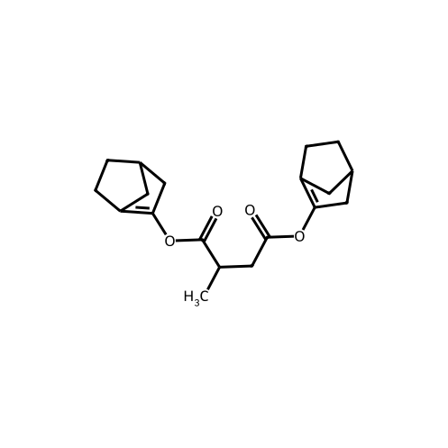 CC(CC(=O)OC1=C2CCC(C2)C1)C(=O)OC1=C2CCC(C2)C1